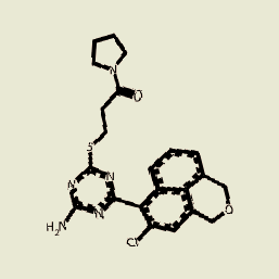 Nc1nc(SCCC(=O)N2CCCC2)nc(-c2c(Cl)cc3c4c(cccc24)COC3)n1